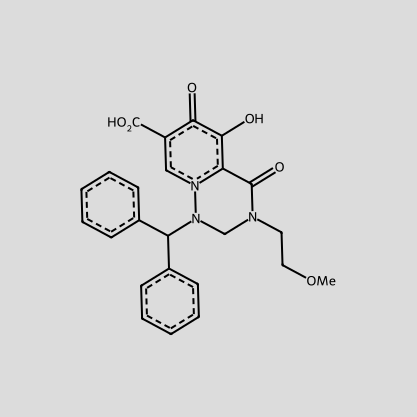 COCCN1CN(C(c2ccccc2)c2ccccc2)n2cc(C(=O)O)c(=O)c(O)c2C1=O